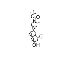 CC1CN(c2cnc3nc(O)cc(Cl)c3c2)CCN1C(=O)OC(C)(C)C